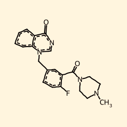 CN1CCN(C(=O)c2cc(Cn3cnc(=O)c4ccccc43)ccc2F)CC1